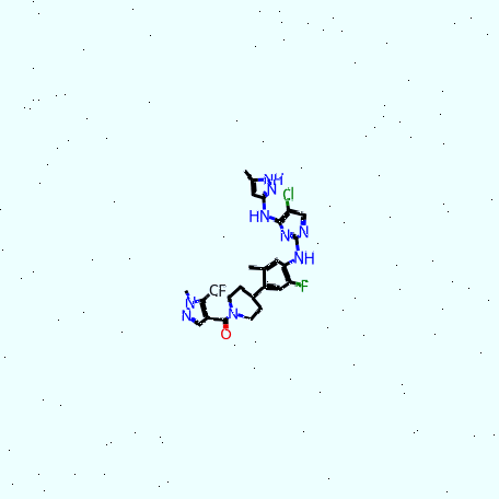 Cc1cc(Nc2nc(Nc3cc(C)c(C4CCN(C(=O)c5cnn(C)c5C(F)(F)F)CC4)cc3F)ncc2Cl)n[nH]1